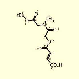 CN(CC(=O)OC(C)(C)C)C(=O)COC(=O)/C=C/C(=O)O